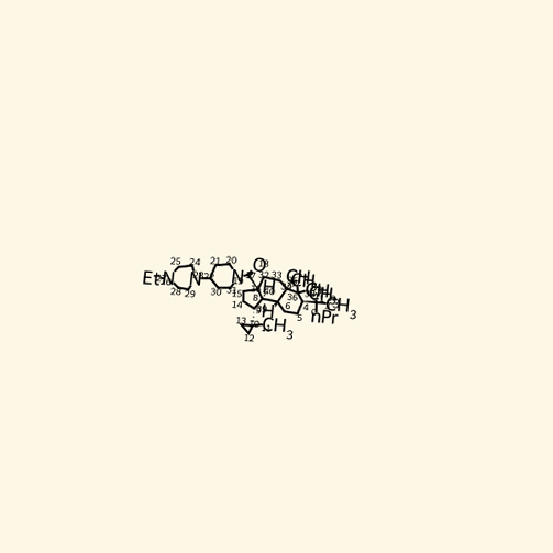 CCCC(C)(C)[C@H]1CC[C@@H]2[C@H]3[C@H](C4(C)CC4)CC[C@]3(C(=O)N3CCC(N4CCN(CC)CC4)CC3)CC[C@@]2(C)C1(C)C